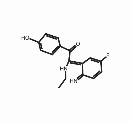 CCN/C(C(=O)c1ccc(O)cc1)=C1/C=C(F)C=CC1=N